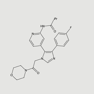 CC(C)C(=O)Nc1cc(-c2c(-c3ccc(F)cc3)ncn2CC(=O)N2CCOCC2)ccn1